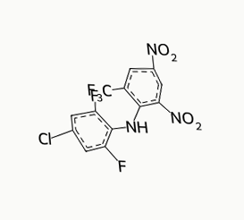 O=[N+]([O-])c1cc([N+](=O)[O-])c(Nc2c(F)cc(Cl)cc2F)c(C(F)(F)F)c1